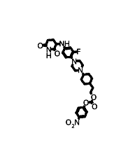 O=C1CCC(Nc2ccc(N3CCN(C4CCC(CCOC(=O)Oc5ccc([N+](=O)[O-])cc5)CC4)CC3)c(F)c2)C(=O)N1